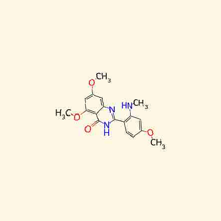 CNc1cc(OC)ccc1-c1nc2cc(OC)cc(OC)c2c(=O)[nH]1